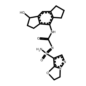 NS(=O)(=NC(=O)Nc1c2c(cc3c1CCC3O)CCC2)c1cnn2c1OCC2